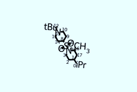 CC(C)C1CCN(S(=O)(=O)C2CCN(C(C)(C)C)CC2)C(C)C1